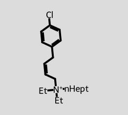 CCCCCCC[N+](CC)(CC)C/C=C\Cc1ccc(Cl)cc1